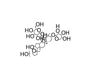 CC(C)(O)[C@H]1CC[C@@](C)([C@H]2[C@@H](O)C[C@@]3(C)[C@@H]4C[C@H](O[C@@H]5O[C@H](CO)[C@@H](O)[C@H](O)[C@H]5O)[C@H]5C(C)(C)[C@@H](O[C@@H]6OC[C@@H](O)[C@H](O)[C@H]6O)CC[C@@]56C[C@@]46CC[C@]23C)O1